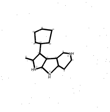 CC1NC2NC3CCNCC3C2C1C1CCCCC1